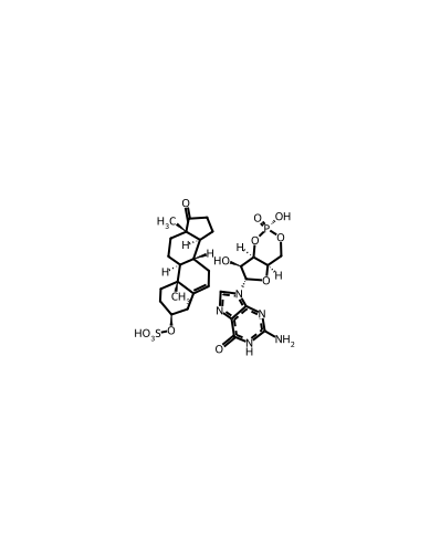 C[C@]12CC[C@H](OS(=O)(=O)O)CC1=CC[C@@H]1[C@@H]2CC[C@]2(C)C(=O)CC[C@@H]12.Nc1nc2c(ncn2[C@H]2O[C@@H]3CO[P@@](=O)(O)O[C@@H]3[C@@H]2O)c(=O)[nH]1